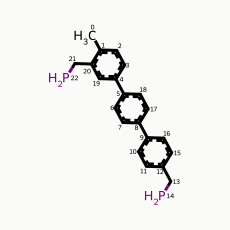 Cc1ccc(-c2ccc(-c3ccc(CP)cc3)cc2)cc1CP